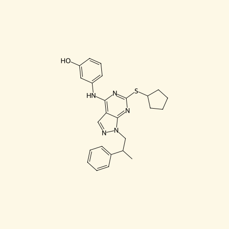 CC(Cn1ncc2c(Nc3cccc(O)c3)nc(SC3CCCC3)nc21)c1ccccc1